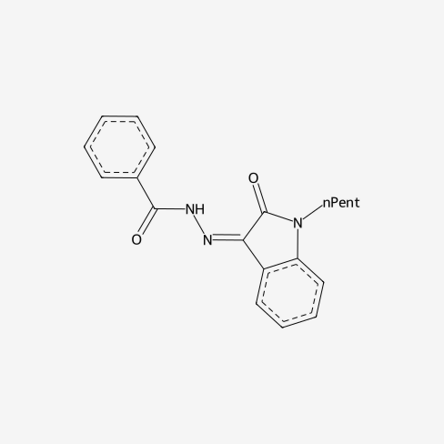 CCCCCN1C(=O)/C(=N\NC(=O)c2ccccc2)c2ccccc21